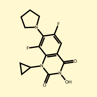 O=c1c2cc(F)c(N3CCCC3)c(F)c2n(C2CC2)c(=O)n1O